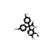 COc1c(Cl)ncc2c1NC(=O)C2(c1ccc(O)cc1)c1ccc(O)cc1